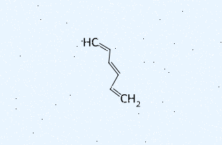 [CH]=CC=CC=C